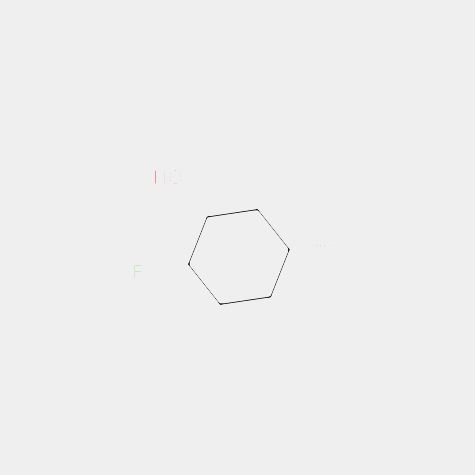 C[C@@H]1CC[C@H](F)[C@H](O)C1